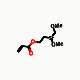 C=CC(=O)OCC[Si](COC)OC